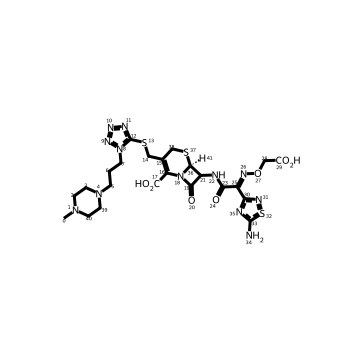 CN1CCN(CCCn2nnnc2SCC2=C(C(=O)O)N3C(=O)C(NC(=O)C(=NOCC(=O)O)c4nsc(N)n4)[C@@H]3SC2)CC1